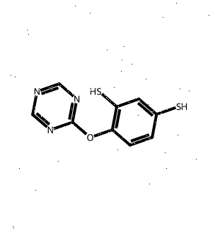 Sc1ccc(Oc2ncncn2)c(S)c1